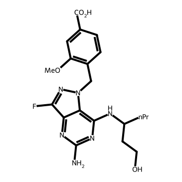 CCCC(CCO)Nc1nc(N)nc2c(F)nn(Cc3ccc(C(=O)O)cc3OC)c12